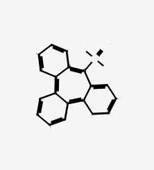 O=P(O)(O)C1=c2ccccc2=c2ccccc2=C2CC=CC=C21